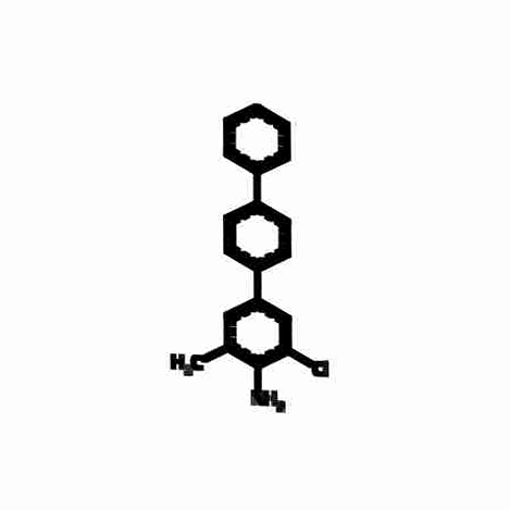 Cc1cc(-c2ccc(-c3ccccc3)cc2)cc(Cl)c1N